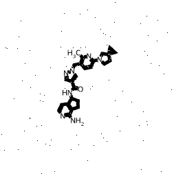 Cc1nc(N2CCC3(CC3)C2)ccc1Cn1cc(C(=O)NC2CCc3c2ccnc3N)cn1